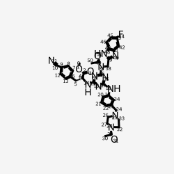 COC(=O)[C@H](Cc1ccc(C#N)cc1)Nc1nc(Nc2cccc(CN3CCN(C(C)=O)CC3)c2)nc(N(Cc2nc3cc(F)ccc3[nH]2)C(C)=O)n1